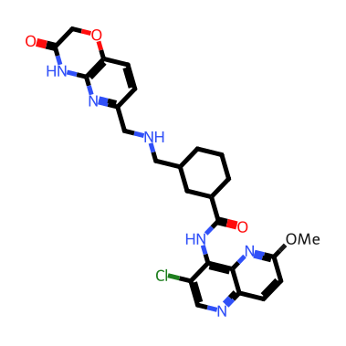 COc1ccc2ncc(Cl)c(NC(=O)C3CCCC(CNCc4ccc5c(n4)NC(=O)CO5)C3)c2n1